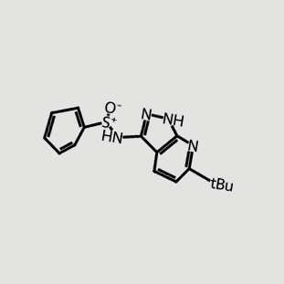 CC(C)(C)c1ccc2c(N[S+]([O-])c3ccccc3)n[nH]c2n1